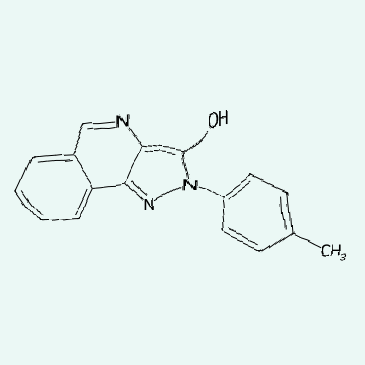 Cc1ccc(-n2nc3c(ncc4ccccc43)c2O)cc1